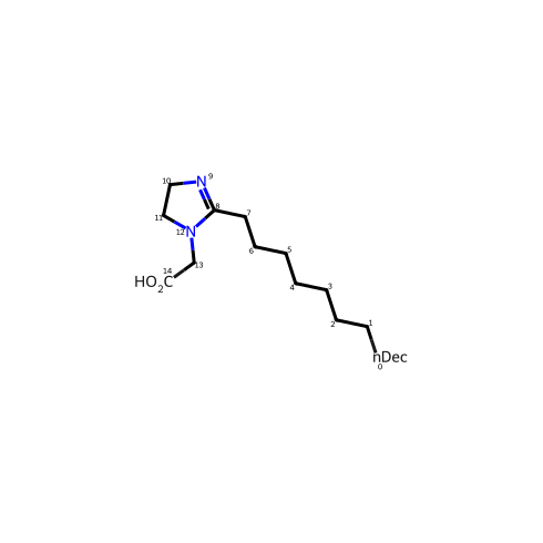 CCCCCCCCCCCCCCCCCC1=NCCN1CC(=O)O